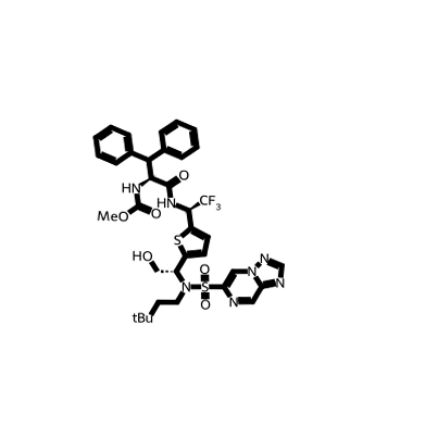 COC(=O)N[C@H](C(=O)N[C@H](c1ccc([C@@H](CO)N(CCC(C)(C)C)S(=O)(=O)c2cn3ncnc3cn2)s1)C(F)(F)F)C(c1ccccc1)c1ccccc1